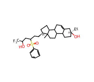 CC[C@]1(O)CCC2C(=CCC3C2CCC2(C)C3CC[C@@H]2CCC(CC(O)C(F)(F)F)S(=O)(=O)c2ccccc2)C1